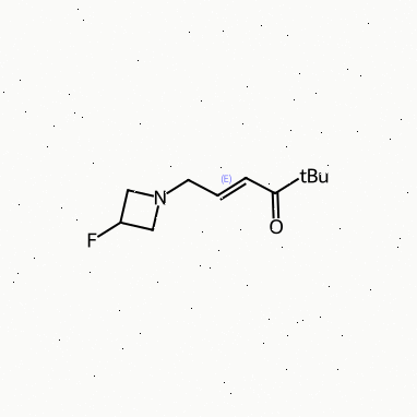 CC(C)(C)C(=O)/C=C/CN1CC(F)C1